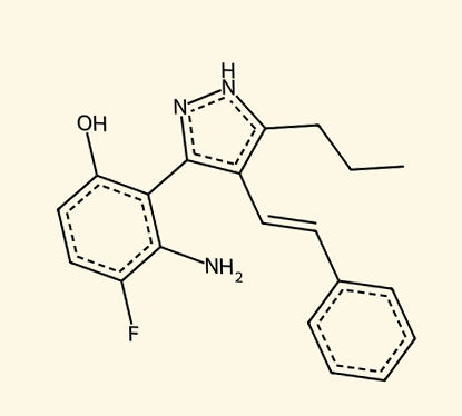 CCCc1[nH]nc(-c2c(O)ccc(F)c2N)c1/C=C/c1ccccc1